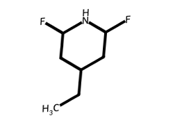 CCC1CC(F)NC(F)C1